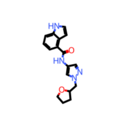 O=C(Nc1cnn(CC2CCCO2)c1)c1cccc2[nH]ccc12